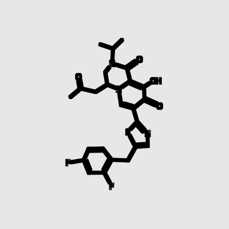 CC(=O)CC1CN(C(C)C)C(=O)c2c(O)c(=O)c(-c3ncc(Cc4ccc(F)cc4F)s3)cn21